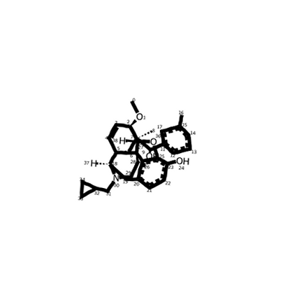 CO[C@]12C=C[C@@]3(C[C@]1(C)[C@@H](O)c1cccc(C)c1)[C@H]1Cc4ccc(O)c5c4[C@@]3(CCN1CC1CC1)[C@H]2O5